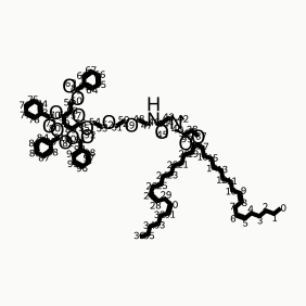 CCCCC/C=C\C/C=C\CCCCCCCCC1(CCCCCCCC/C=C\C/C=C\CCCCC)OC[C@H](CN(C)CC(=O)NCCOCCOCCO[C@@H]2OC(COC(=O)c3ccccc3)[C@@H](OC(=O)c3ccccc3)C(OC(=O)c3ccccc3)[C@H]2OC(=O)c2ccccc2)O1